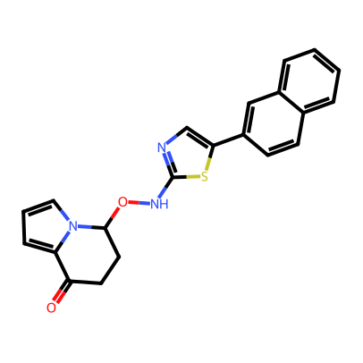 O=C1CCC(ONc2ncc(-c3ccc4ccccc4c3)s2)n2cccc21